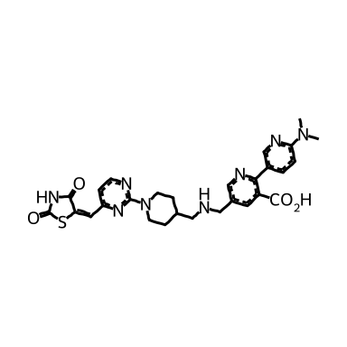 CN(C)c1ccc(-c2ncc(CNCC3CCN(c4nccc(C=C5SC(=O)NC5=O)n4)CC3)cc2C(=O)O)cn1